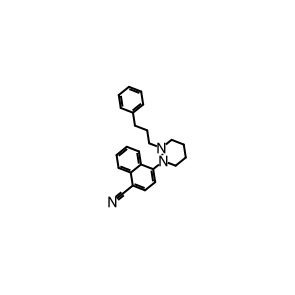 N#Cc1ccc(N2CCCCN2CCCc2ccccc2)c2ccccc12